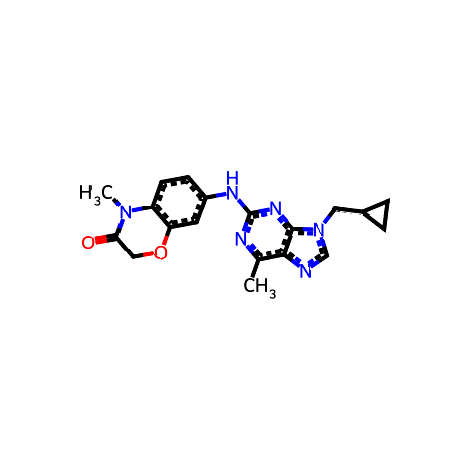 Cc1nc(Nc2ccc3c(c2)OCC(=O)N3C)nc2c1ncn2CC1CC1